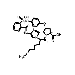 CCCCCCC(C(=O)N1C[C@@H](Oc2ccc(O)cc2)C[C@H]1C(=O)O)n1cnc(NC(=O)c2ccccc2S(=O)(=O)O)c1